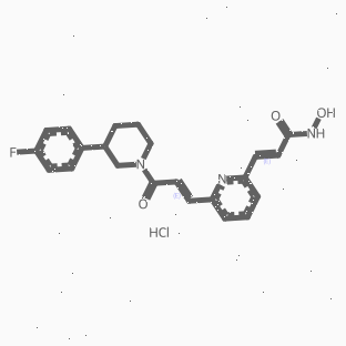 Cl.O=C(/C=C/c1cccc(/C=C/C(=O)N2CCCC(c3ccc(F)cc3)C2)n1)NO